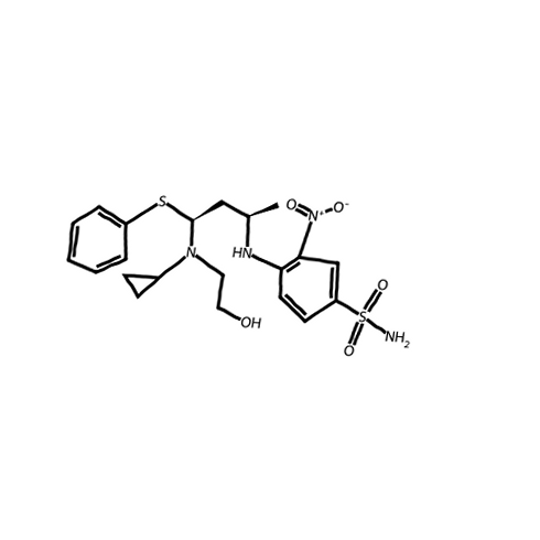 C[C@H](C[C@H](Sc1ccccc1)N(CCO)C1CC1)Nc1ccc(S(N)(=O)=O)cc1[N+](=O)[O-]